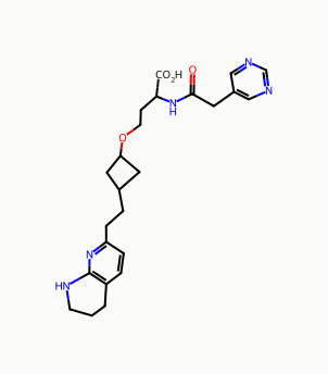 O=C(Cc1cncnc1)NC(CCOC1CC(CCc2ccc3c(n2)NCCC3)C1)C(=O)O